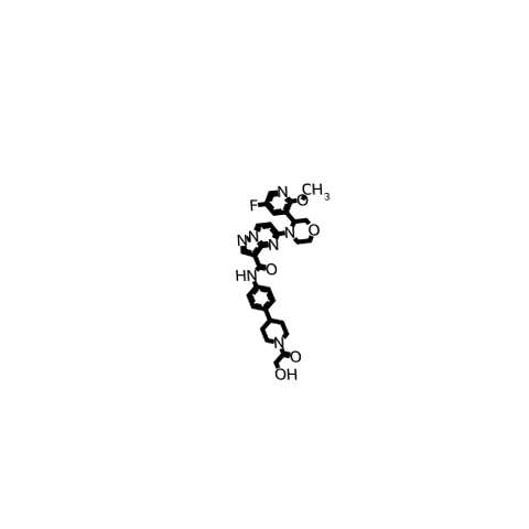 COc1ncc(F)cc1C1COCCN1c1ccn2ncc(C(=O)Nc3ccc(C4CCN(C(=O)CO)CC4)cc3)c2n1